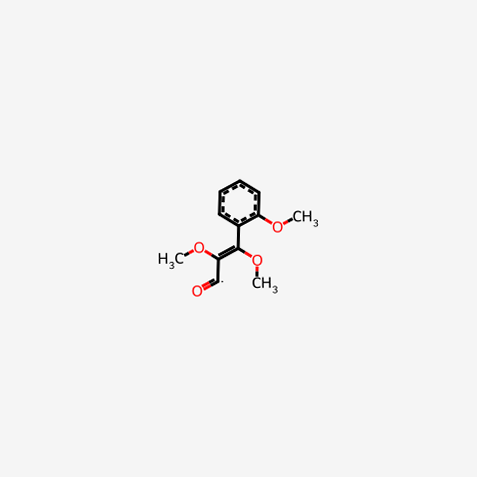 COC([C]=O)=C(OC)c1ccccc1OC